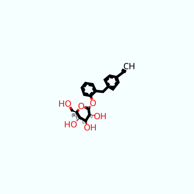 C#Cc1ccc(Cc2ccccc2O[C@@H]2O[C@H](CO)[C@@H](O)[C@H](O)[C@H]2O)cc1